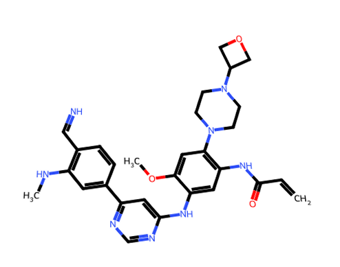 C=CC(=O)Nc1cc(Nc2cc(-c3ccc(C=N)c(NC)c3)ncn2)c(OC)cc1N1CCN(C2COC2)CC1